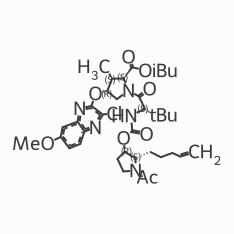 C=CCCC[C@H]1[C@H](OC(=O)N[C@H](C(=O)N2C[C@H](Oc3nc4cc(OC)ccc4nc3Cl)[C@@H](C)[C@H]2C(=O)OCC(C)C)C(C)(C)C)CCN1C(C)=O